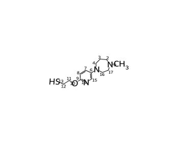 CN1CCCN(c2ccc(OCCS)nc2)CC1